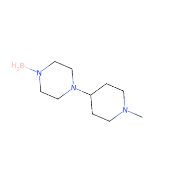 BN1CCN(C2CCN(C)CC2)CC1